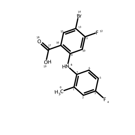 Cc1cc(F)ccc1Nc1cc(F)c(Br)cc1C(=O)O